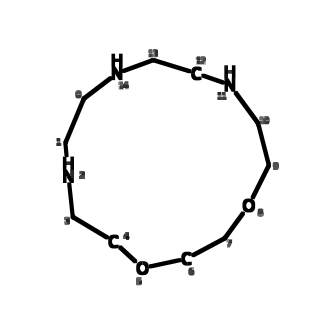 C1CNCCOCCOCCNCCN1